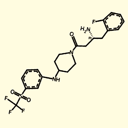 N[C@@H](CC(=O)N1CCC(Nc2cccc(S(=O)(=O)C(F)(F)F)c2)CC1)Cc1ccccc1F